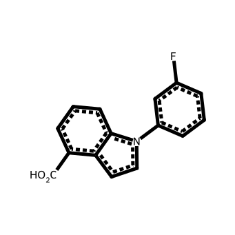 O=C(O)c1cccc2c1ccn2-c1cccc(F)c1